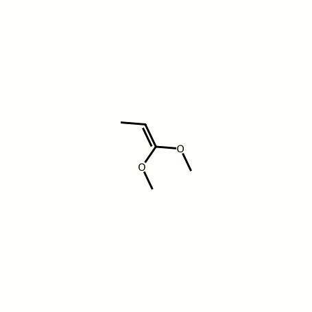 CC=C(OC)OC